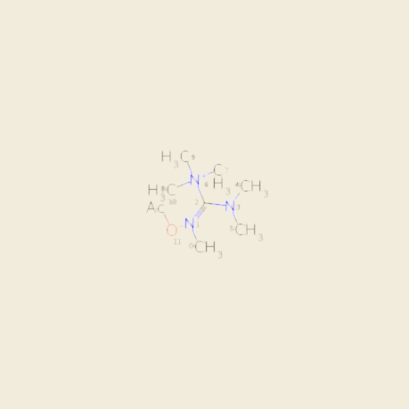 C/N=C(\N(C)C)[N+](C)(C)C.CC(=O)[O-]